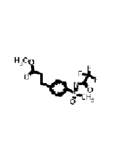 COC(=O)CCc1ccc(S(C)(=O)=NC(=O)C(F)(F)F)cc1